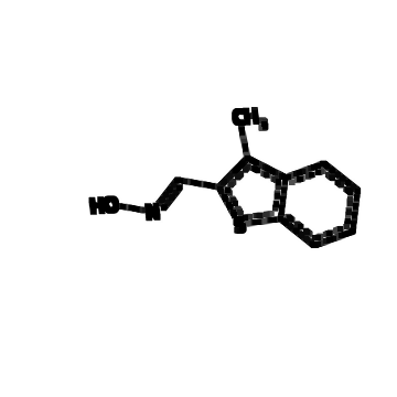 Cc1c(/C=N/O)sc2ccccc12